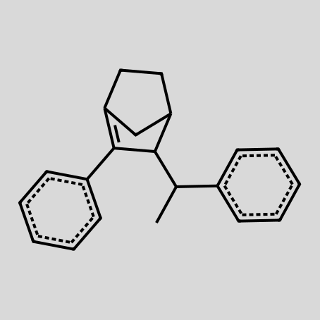 CC(c1ccccc1)C1C(c2ccccc2)=C2CCC1C2